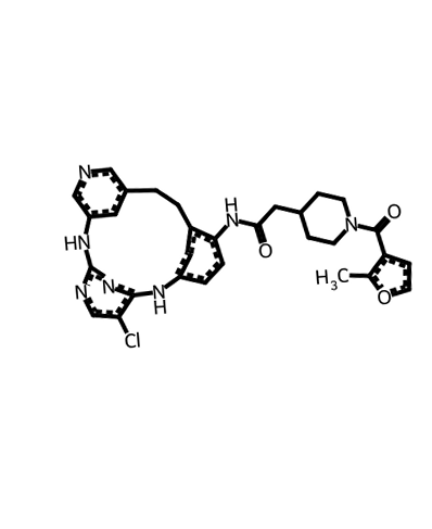 Cc1occc1C(=O)N1CCC(CC(=O)Nc2ccc3cc2CCc2cncc(c2)Nc2ncc(Cl)c(n2)N3)CC1